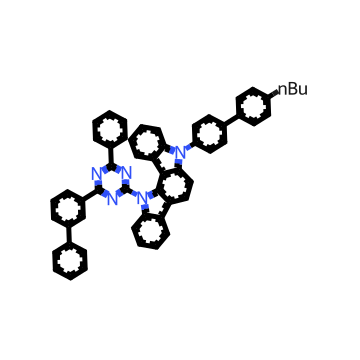 CCCCc1ccc(-c2ccc(-n3c4ccccc4c4c3ccc3c5ccccc5n(-c5nc(-c6ccccc6)nc(-c6cccc(-c7ccccc7)c6)n5)c34)cc2)cc1